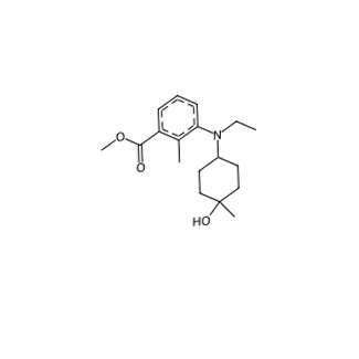 CCN(c1cccc(C(=O)OC)c1C)C1CCC(C)(O)CC1